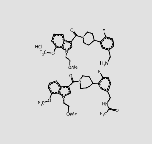 COCCn1cc(C(=O)N2CCC(c3cc(CN)ccc3F)CC2)c2cccc(OC(F)(F)F)c21.COCCn1cc(C(=O)N2CCC(c3cc(CNC(=O)C(F)(F)F)ccc3F)CC2)c2cccc(OC(F)(F)F)c21.Cl